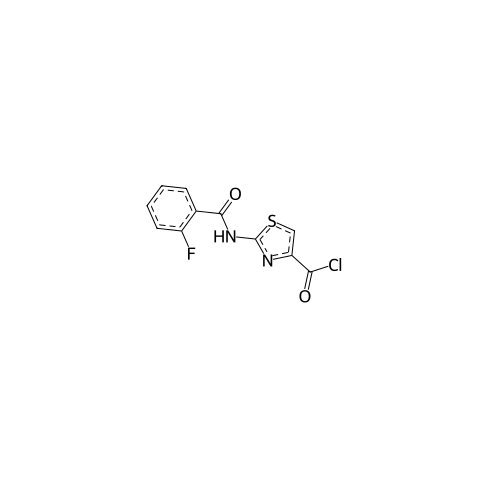 O=C(Cl)c1csc(NC(=O)c2ccccc2F)n1